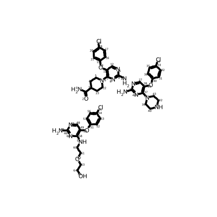 NC(=O)C1CCN(c2nc(N)ncc2Oc2ccc(Cl)cc2)CC1.Nc1ncc(Oc2ccc(Cl)cc2)c(N2CCNCC2)n1.Nc1ncc(Oc2ccc(Cl)cc2)c(NCCOCCO)n1